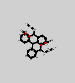 O=C=NC(N=C=O)c1ccccc1C(c1ccccc1)c1ccccc1C(N=C=O)N=C=O